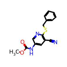 COC(=O)Nc1cnc(SCc2ccccc2)c(C#N)c1